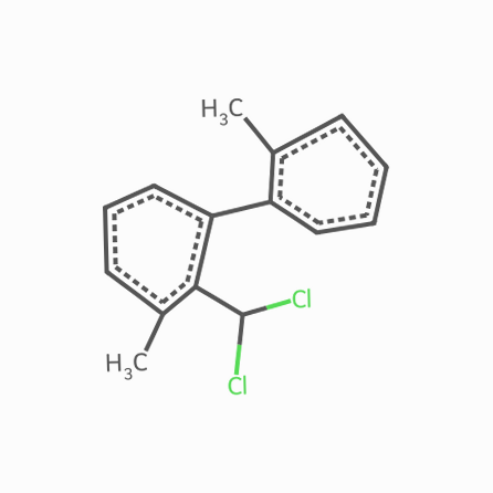 Cc1ccccc1-c1cccc(C)c1C(Cl)Cl